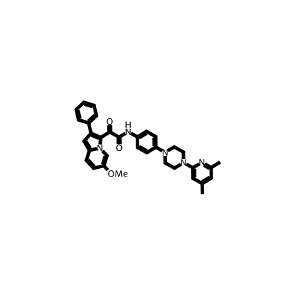 COc1ccc2cc(-c3ccccc3)c(C(=O)C(=O)Nc3ccc(N4CCN(c5cc(C)cc(C)n5)CC4)cc3)n2c1